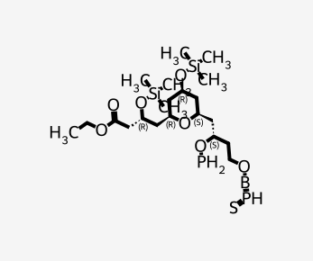 CCOC(=O)C[C@@H](C[C@H]1C[C@@H](O[Si](C)(C)C)C[C@@H](C[C@H](CCOB=[PH]=S)OP)O1)O[Si](C)(C)C